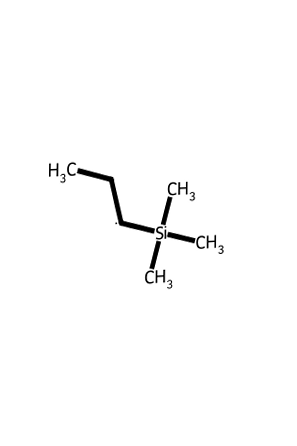 CC[CH][Si](C)(C)C